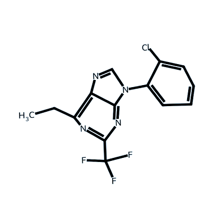 CCc1nc(C(F)(F)F)nc2c1ncn2-c1ccccc1Cl